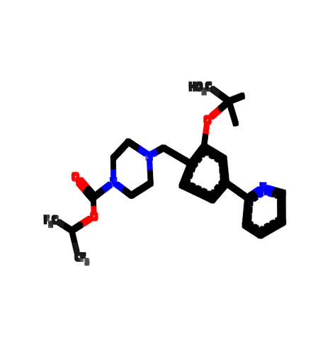 CC(C)(Oc1cc(-c2ccccn2)ccc1CN1CCN(C(=O)OC(C(F)(F)F)C(F)(F)F)CC1)C(=O)O